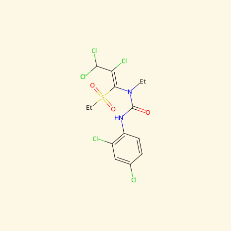 CCN(C(=O)Nc1ccc(Cl)cc1Cl)C(=C(Cl)C(Cl)Cl)S(=O)(=O)CC